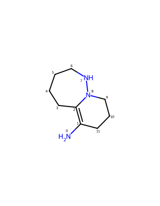 NC1=C2CCCCNN2CCC1